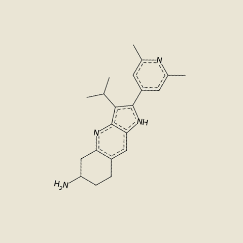 Cc1cc(-c2[nH]c3cc4c(nc3c2C(C)C)CC(N)CC4)cc(C)n1